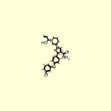 C=CC(O)N1CCC[C@@H](n2cc(C(N)=O)c(-c3ccc(Oc4cccc(Cl)c4)cc3)n2)C1